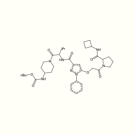 CCCCOC(=O)NC1CCN(C(=O)C(NC(=O)c2cc(OCC(=O)N3CCCC3C(=O)NC3CCC3)n(-c3ccccc3)n2)C(C)C)CC1